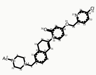 CC(=O)N1CCN(Cc2ccc3c(c2)CCC(n2ccc(OCc4ccc(Cl)cn4)cc2=O)=C3)CC1